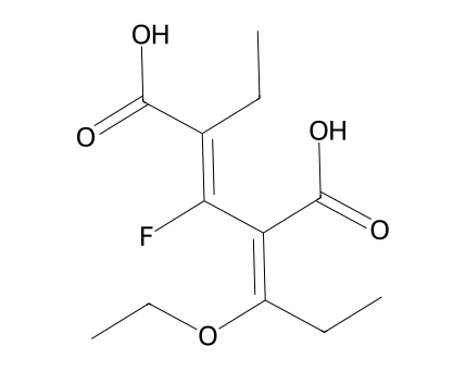 CCOC(CC)=C(C(=O)O)C(F)=C(CC)C(=O)O